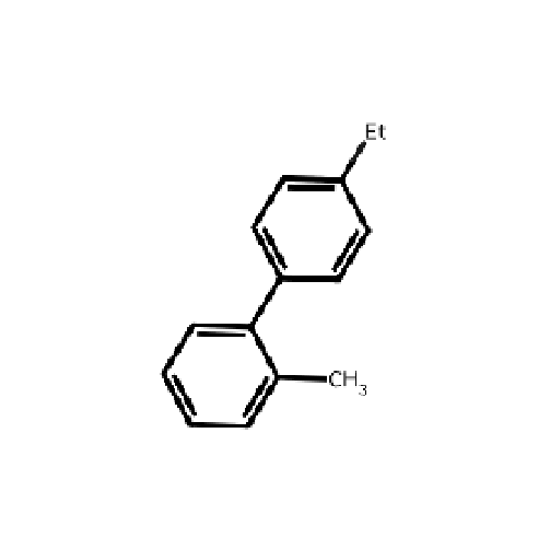 CCc1ccc(-c2ccccc2C)cc1